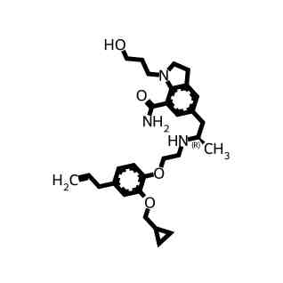 C=CCc1ccc(OCCN[C@H](C)Cc2cc3c(c(C(N)=O)c2)N(CCCO)CC3)c(OCC2CC2)c1